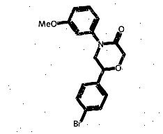 COc1cccc(N2CC(c3ccc(Br)cc3)OCC2=O)c1